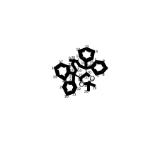 CCCC(c1ccccc1)(c1ccccc1)[C@@H]1OC(C)(C)O[C@H]1C(CCC)(c1ccccc1)c1ccccc1